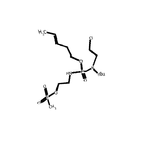 CC=CCCOP(=O)(NCCOS(C)(=O)=O)N(CCCl)CCCC